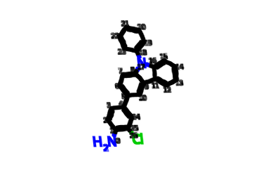 Nc1ccc(-c2ccc3c(c2)c2ccccc2n3-c2ccccc2)cc1Cl